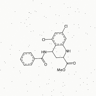 COC(=O)C1CC(NC(=O)c2ccccc2)c2c(Cl)cc(Cl)cc2N1